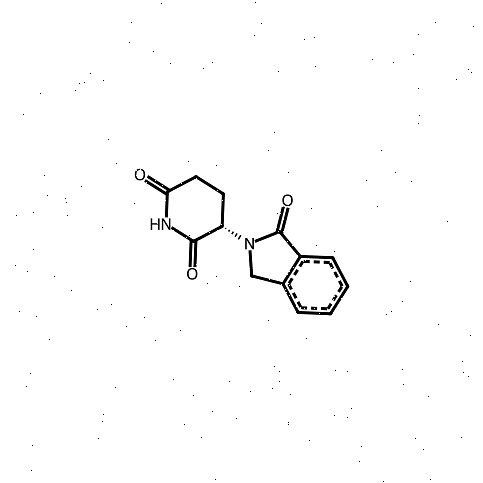 O=C1CC[C@H](N2Cc3ccccc3C2=O)C(=O)N1